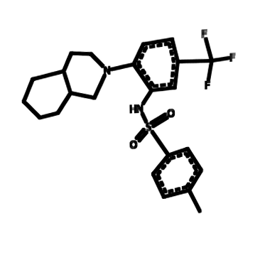 Cc1ccc(S(=O)(=O)Nc2cc(C(F)(F)F)ccc2N2CCC3CCCCC3C2)cc1